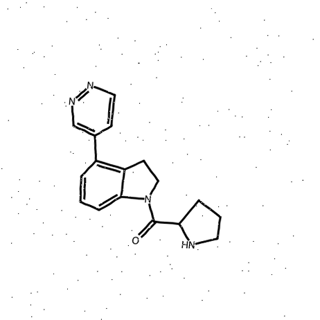 O=C(C1CCCN1)N1CCc2c(-c3ccnnc3)cccc21